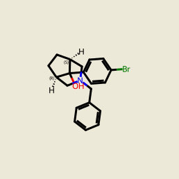 OC1(c2ccc(Br)cc2)[C@@H]2CC[C@H]1CN(Cc1ccccc1)C2